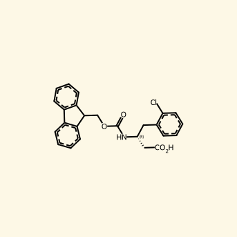 O=C(O)C[C@@H](Cc1ccccc1Cl)NC(=O)OCC1c2ccccc2-c2ccccc21